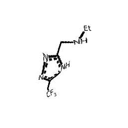 CCNCc1nnc(C(F)(F)F)[nH]1